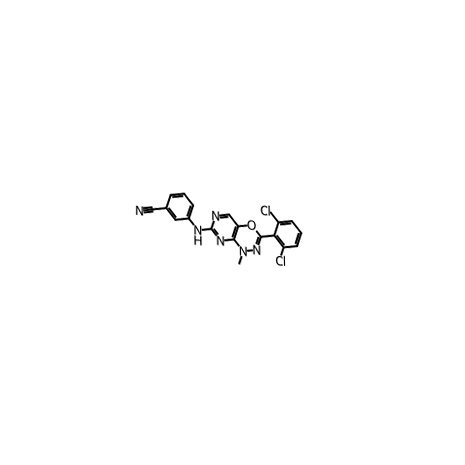 CN1N=C(c2c(Cl)cccc2Cl)Oc2cnc(Nc3cccc(C#N)c3)nc21